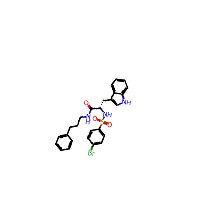 O=C(NCCCc1ccccc1)[C@H](Cc1c[nH]c2ccccc12)NS(=O)(=O)c1ccc(Br)cc1